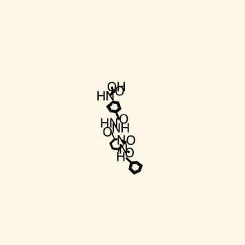 O=C(O)Nc1ccc(C(=O)NNC(=O)[C@@H]2CC[C@@H]3CN2C(=O)N3OCc2ccccc2)cc1